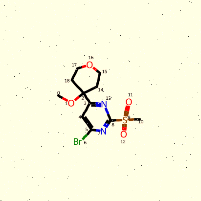 COC1(c2cc(Br)nc(S(C)(=O)=O)n2)CCOCC1